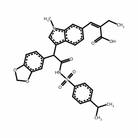 CCC(=Cc1ccc2c(C(C(=O)NS(=O)(=O)c3ccc(C(C)C)cc3)c3ccc4c(c3)OCO4)cn(C)c2c1)C(=O)O